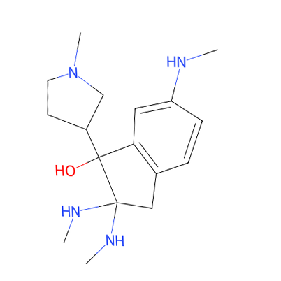 CNc1ccc2c(c1)C(O)(C1CCN(C)C1)C(NC)(NC)C2